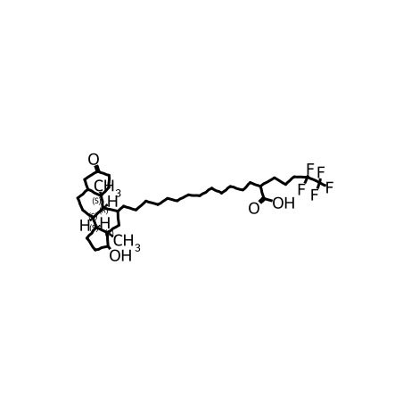 C[C@]12CCC(=O)CC1CC[C@@H]1[C@H]2C(CCCCCCCCCCCCCC(CCCC(F)(F)C(F)(F)F)C(=O)O)C[C@]2(C)C(O)CC[C@@H]12